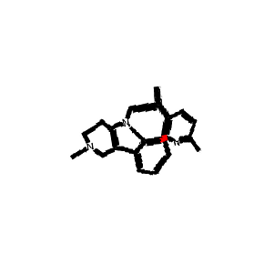 C/C(=C/n1c2c(c3ccccc31)CN(C)CC2)c1ccc(C)nc1